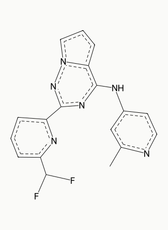 Cc1cc(Nc2nc(-c3cccc(C(F)F)n3)nn3cccc23)ccn1